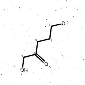 [O]CCCC(=O)CO